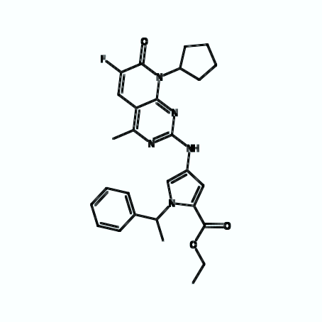 CCOC(=O)c1cc(Nc2nc(C)c3cc(F)c(=O)n(C4CCCC4)c3n2)cn1C(C)c1ccccc1